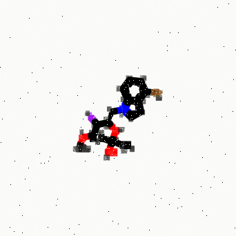 CCCCOCC(I)[C@H](Cn1ccc2c(Br)cccc21)OC(C)(C)O